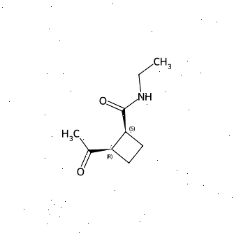 CCNC(=O)[C@H]1CC[C@H]1C(C)=O